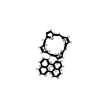 C1=CC2=NC1=CC1=NC(=CC3=NC(=CC4=NC(=C2)C=C4)C=C3)C=C1.c1cc2cccc3c4cccc5cccc(c(c1)c23)c54